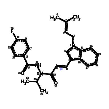 CC(C)=CCn1cc(/C=C/C(=O)N(NC(=O)c2ccc(F)cc2)C(C)C)c2ccccc21